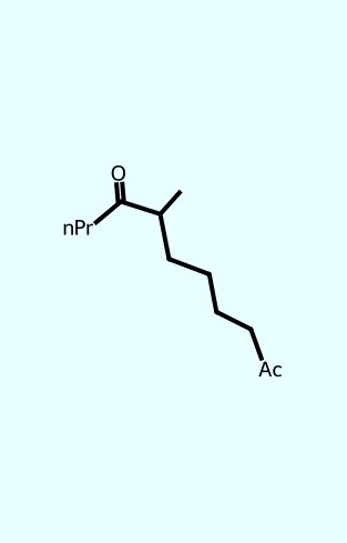 CCCC(=O)C(C)CCCCC(C)=O